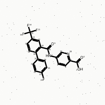 O=C(O)c1ccc(NC(=O)c2cc(C(F)(F)F)ccc2-c2ccc(F)cc2)cn1